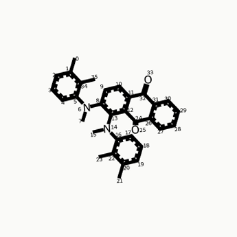 Cc1cccc(N(C)c2ccc3c(c2N(C)c2cccc(C)c2C)C(=O)c2ccccc2C3=O)c1C